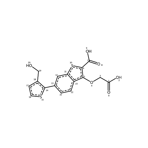 O=C(O)COc1c(C(=O)O)sc2cc(-c3sccc3CO)ccc12